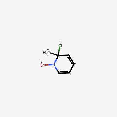 CC1(Cl)C=CC=CN1Br